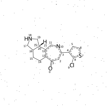 O=c1cc(-c2ccsc2Cl)ncc2c1CCC1CNC[C@H]21